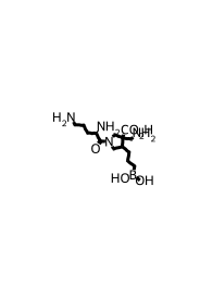 NCCC[C@H](N)C(=O)N1CC(CCCB(O)O)C(CN)(C(=O)O)C1